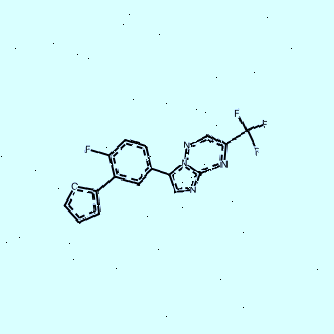 Fc1ccc(-c2cnc3nc(C(F)(F)F)cnn23)cc1-c1ccco1